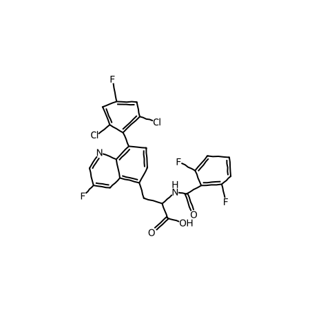 O=C(NC(Cc1ccc(-c2c(Cl)cc(F)cc2Cl)c2ncc(F)cc12)C(=O)O)c1c(F)cccc1F